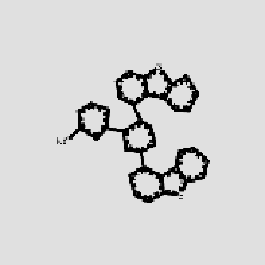 N#Cc1cccc(-c2cc(-c3cccc4sc5ccccc5c34)ccc2-c2cccc3sc4ccccc4c23)c1